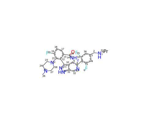 CC(C)NCc1cc(F)c(-c2cc3c(-c4c(C(N)=O)ccc(F)c4N4CCN(C)CC4)n[nH]c3cn2)c(F)c1